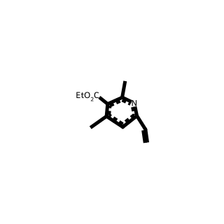 C=Cc1cc(C)c(C(=O)OCC)c(C)n1